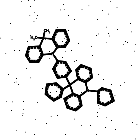 CC1(C)c2ccccc2N(c2ccc(C3(c4ccccc4)c4ccccc4N(c4ccccc4)c4ccccc43)cc2)c2ccccc21